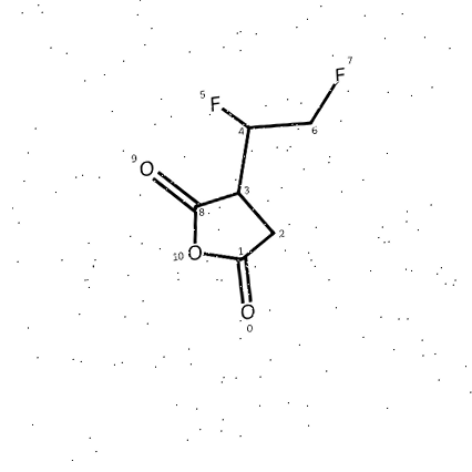 O=C1CC(C(F)CF)C(=O)O1